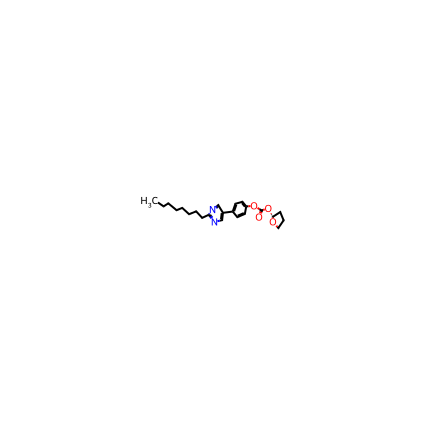 CCCCCCCCc1ncc(-c2ccc(OC(=O)O[C@@H]3CCCO3)cc2)cn1